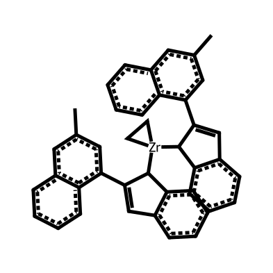 Cc1cc(C2=Cc3ccccc3[CH]2[Zr]2([CH]3C(c4cc(C)cc5ccccc45)=Cc4ccccc43)[CH2][CH2]2)c2ccccc2c1